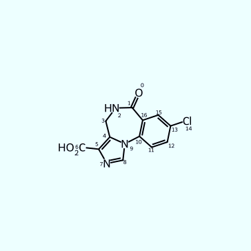 O=C1NCc2c(C(=O)O)ncn2-c2ccc(Cl)cc21